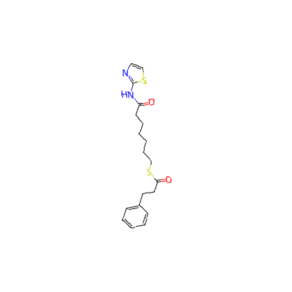 O=C(CCCCCCSC(=O)CCc1ccccc1)Nc1nccs1